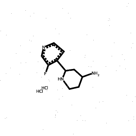 Cl.Cl.NC1CCNC(c2ccncc2F)C1